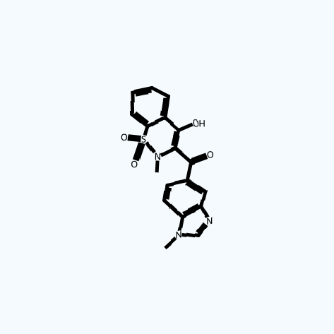 CN1C(C(=O)c2ccc3c(c2)ncn3C)=C(O)c2ccccc2S1(=O)=O